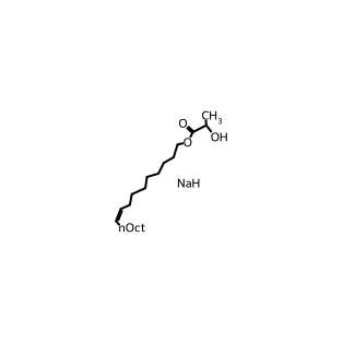 CCCCCCCC/C=C\CCCCCCCCOC(=O)C(C)O.[NaH]